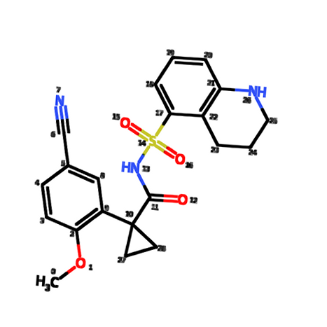 COc1ccc(C#N)cc1C1(C(=O)NS(=O)(=O)c2cccc3c2CCCN3)CC1